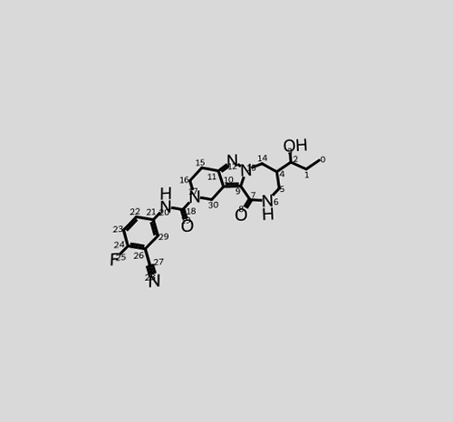 CCC(O)C1CNC(=O)c2c3c(nn2C1)CCN(C(=O)Nc1ccc(F)c(C#N)c1)C3